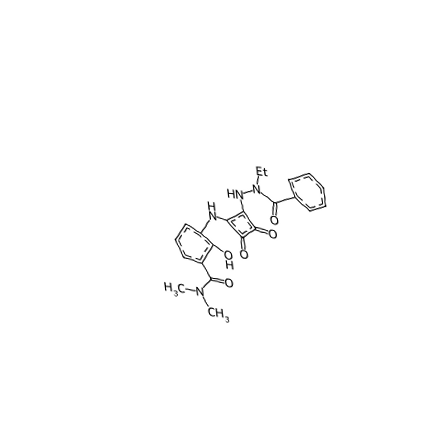 CCN(Nc1c(Nc2cccc(C(=O)N(C)C)c2O)c(=O)c1=O)C(=O)c1ccccc1